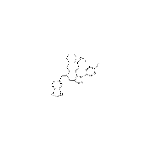 CCCCn1c(CN(CCC2CCCCC2)Cc2ccc3c(c2)OCO3)cnc1-c1ccc(F)cc1